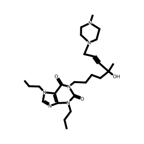 CCCn1cnc2c1c(=O)n(CCCCC(C)(O)C#CCN1CCN(C)CC1)c(=O)n2CCC